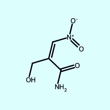 NC(=O)C(=C[N+](=O)[O-])CO